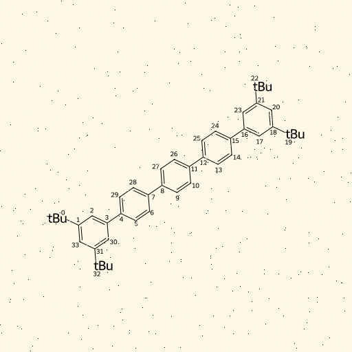 CC(C)(C)c1cc(-c2ccc(-c3ccc(-c4ccc(-c5cc(C(C)(C)C)cc(C(C)(C)C)c5)cc4)cc3)cc2)cc(C(C)(C)C)c1